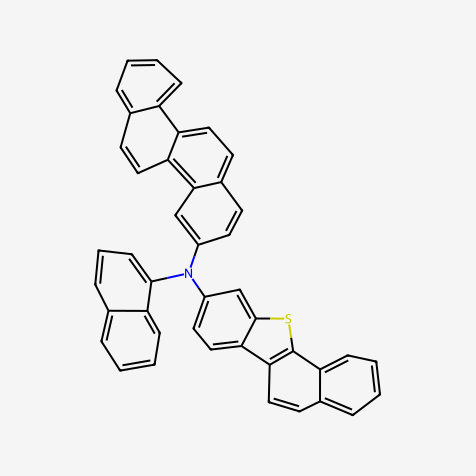 c1ccc2c(N(c3ccc4c(c3)sc3c5ccccc5ccc43)c3ccc4ccc5c6ccccc6ccc5c4c3)cccc2c1